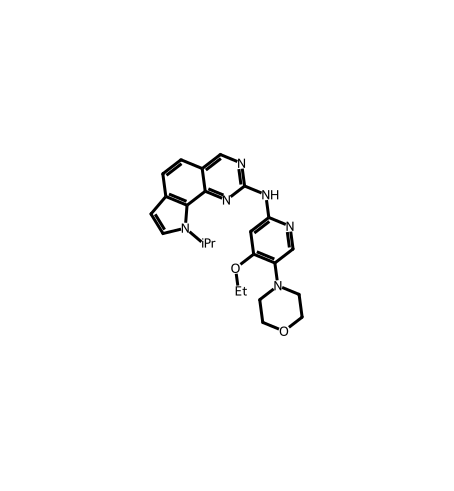 CCOc1cc(Nc2ncc3ccc4ccn(C(C)C)c4c3n2)ncc1N1CCOCC1